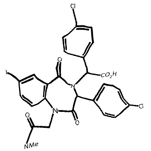 CNC(=O)CN1C(=O)C(c2ccc(Cl)cc2)N(C(C(=O)O)c2ccc(Cl)cc2)C(=O)c2cc(I)ccc21